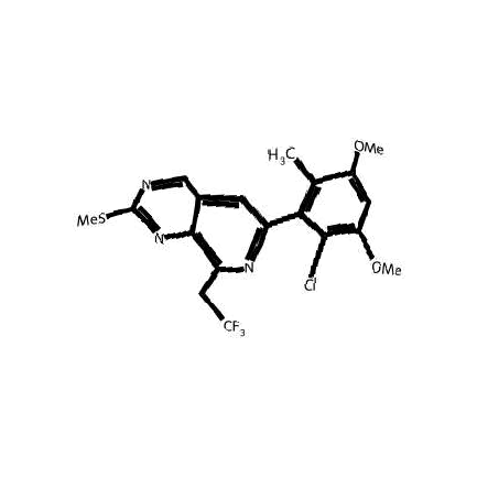 COc1cc(OC)c(Cl)c(-c2cc3cnc(SC)nc3c(CC(F)(F)F)n2)c1C